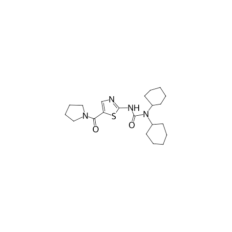 O=C(c1cnc(NC(=O)N(C2CCCCC2)C2CCCCC2)s1)N1CCCC1